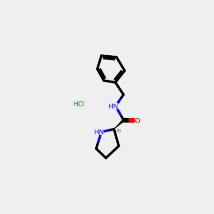 Cl.O=C(NCc1ccccc1)[C@H]1CCCN1